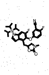 CC(C)[Si](C(C)C)(C(C)C)n1ccc2c(CC3CN(C)C(=O)O3)c(Oc3ccc(F)c(C#N)c3)c(F)cc21